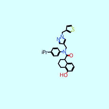 CC(C)c1ccc(N(Cc2cnn(Cc3ccsc3)c2)C(=O)C2CCCc3c(O)cccc32)cc1